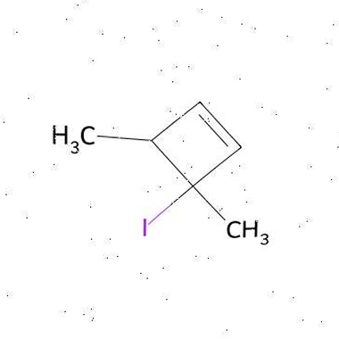 CC1C=CC1(C)I